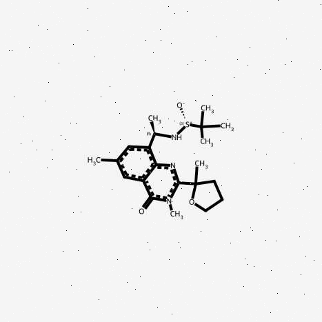 Cc1cc([C@@H](C)N[S@+]([O-])C(C)(C)C)c2nc(C3(C)CCCO3)n(C)c(=O)c2c1